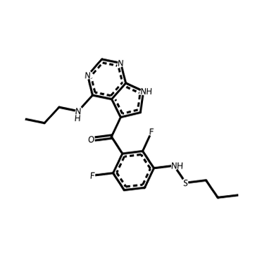 CCCNc1ncnc2[nH]cc(C(=O)c3c(F)ccc(NSCCC)c3F)c12